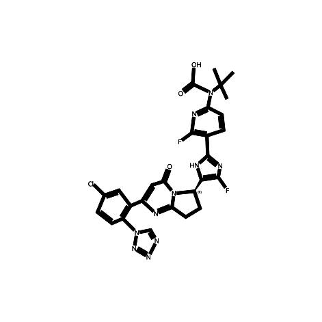 CC(C)(C)N(C(=O)O)c1ccc(-c2nc(F)c([C@H]3CCc4nc(-c5cc(Cl)ccc5-n5cnnn5)cc(=O)n43)[nH]2)c(F)n1